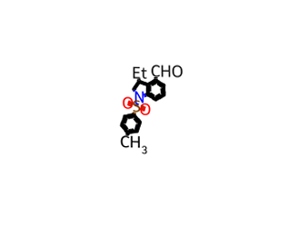 CCC1CN(S(=O)(=O)c2ccc(C)cc2)c2cccc(C=O)c21